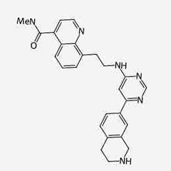 CNC(=O)c1ccnc2c(CCNc3cc(-c4ccc5c(c4)CNCC5)ncn3)cccc12